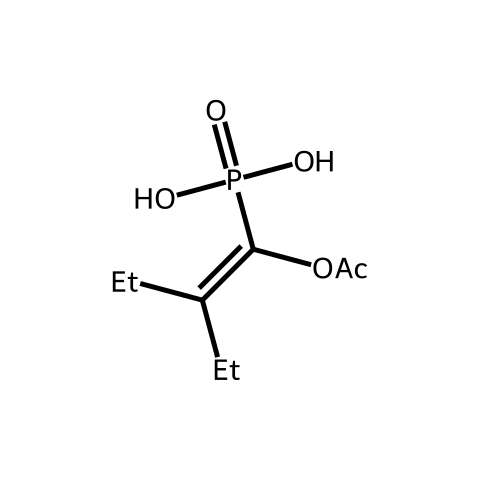 CCC(CC)=C(OC(C)=O)P(=O)(O)O